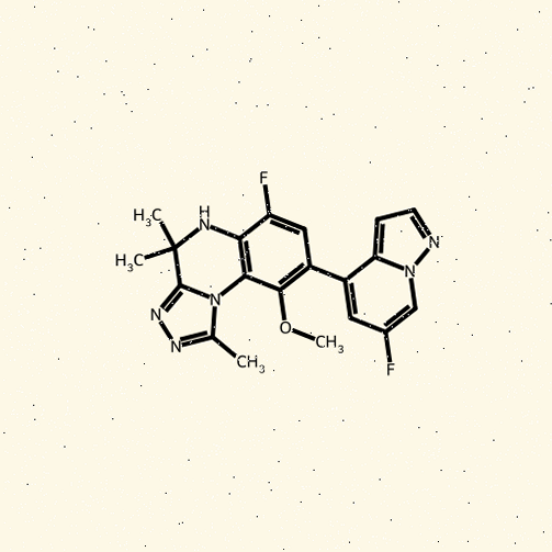 COc1c(-c2cc(F)cn3nccc23)cc(F)c2c1-n1c(C)nnc1C(C)(C)N2